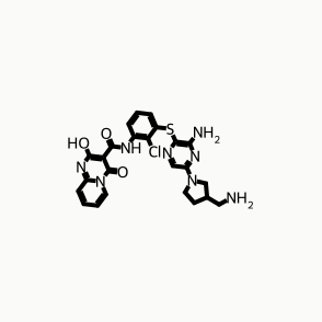 NCC1CCN(c2cnc(Sc3cccc(NC(=O)c4c(O)nc5ccccn5c4=O)c3Cl)c(N)n2)C1